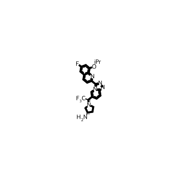 CC(C)Oc1cc(F)cc2ccc(-c3nnc4ccc([C@@H](N5CC[C@H](N)C5)C(F)(F)F)cn34)nc12